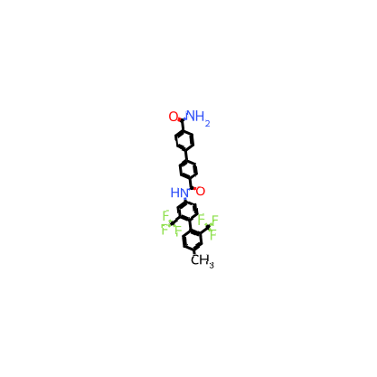 Cc1ccc(-c2ccc(NC(=O)c3ccc(-c4ccc(C(N)=O)cc4)cc3)cc2C(F)(F)F)c(C(F)(F)F)c1